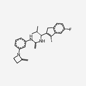 C=C(Nc1cccc(N2CCC2=C)c1)NC(C1=C(C)c2cc(F)ccc2C1)C(C)C